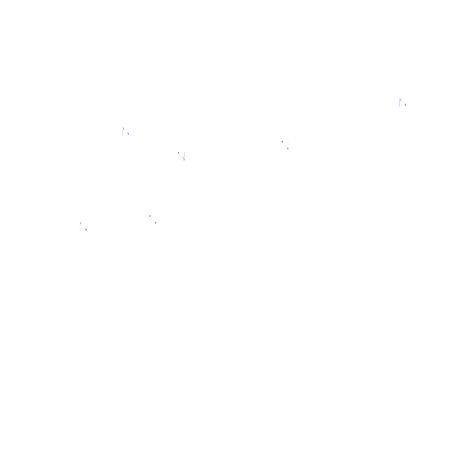 Cc1cc(-c2ccc(CNc3nccc4nc(-c5cccc(F)c5)cnc34)cn2)ccn1